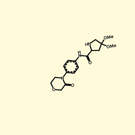 COC1(OC)CNC(C(=O)Nc2ccc(N3CCOCC3=O)cc2)C1